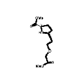 COC(=O)COCCC1CC[C@@H](C(=O)OC)N1